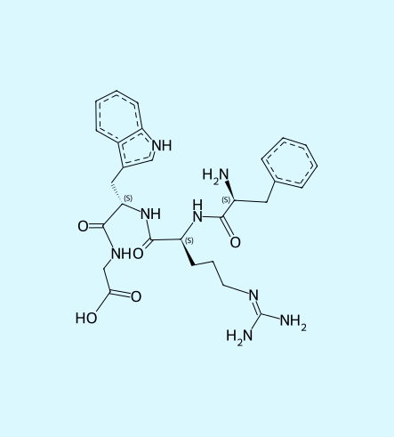 NC(N)=NCCC[C@H](NC(=O)[C@@H](N)Cc1ccccc1)C(=O)N[C@@H](Cc1c[nH]c2ccccc12)C(=O)NCC(=O)O